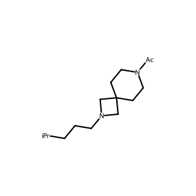 CC(=O)N1CCC2(CC1)CN(CCCC(C)C)C2